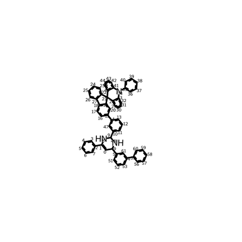 C1=C(c2ccccc2)NC(c2cccc(-c3ccc4c(c3)C3(c5ccccc5-4)c4ccccc4N(c4ccccc4)c4ccccc43)c2)NC1c1cccc(-c2ccccc2)c1